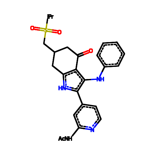 CC(=O)Nc1cc(-c2[nH]c3c(c2Nc2ccccc2)C(=O)CC(CS(=O)(=O)C(C)C)C3)ccn1